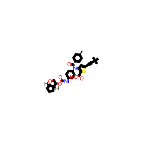 CC(C)(C)C#Cc1cc(N(C(=O)[C@H]2CC[C@H](C)CC2)[C@H]2CC[C@H](NC(=O)O[C@H]3CO[C@H]4CCC[C@H]43)CC2)c(C(=O)O)s1